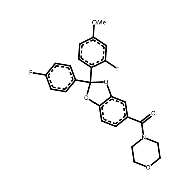 COc1ccc(C2(c3ccc(F)cc3)Oc3ccc(C(=O)N4CCOCC4)cc3O2)c(F)c1